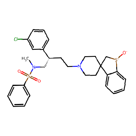 CN(C[C@@H](CCN1CCC2(CC1)C[S+]([O-])c1ccccc12)c1cccc(Cl)c1)S(=O)(=O)c1ccccc1